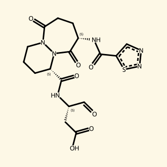 O=C[C@H](CC(=O)O)NC(=O)[C@@H]1CCCN2C(=O)CC[C@H](NC(=O)c3cnns3)C(=O)N12